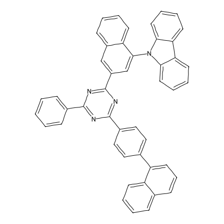 c1ccc(-c2nc(-c3ccc(-c4cccc5ccccc45)cc3)nc(-c3cc(-n4c5ccccc5c5ccccc54)c4ccccc4c3)n2)cc1